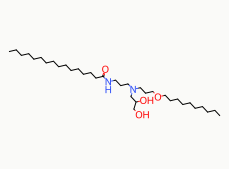 CCCCCCCCCCCCCCCC(=O)NCCCN(CCCOCCCCCCCCCC)CC(O)CO